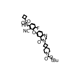 CC(C)(C)OC(=O)N1CCC2(CC1)CC(n1cnc3ccc(Oc4c(F)ccc(NS(=O)(=O)C5CCC5)c4C#N)cc3c1=O)C2